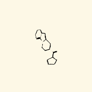 O=C(C1CCCC1)[C@H]1CCn2c(cc3ccccc32)C1